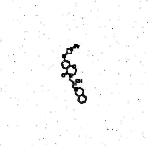 CC(C)N1CC(Oc2ccc3c(c2)OCCN(C[C@H](O)CN2CCc4ccccc4C2)C3=O)C1